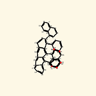 c1ccc(-c2c(-c3cccc4ccccc34)ccc3cc4cc5ccccc5c(-c5ccccc5)c4c(-c4cccc5ccccc45)c23)cc1